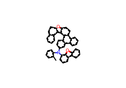 Cc1ccccc1N(c1ccc2c(c1)c1ccccc1c1ccc3oc4ccc5ccccc5c4c3c12)c1cccc2c1oc1ccccc12